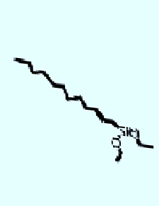 CCCCCCCCCC=CC[SiH](OCC)OCC